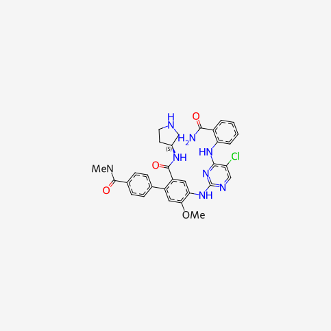 CNC(=O)c1ccc(-c2cc(OC)c(Nc3ncc(Cl)c(Nc4ccccc4C(N)=O)n3)cc2C(=O)N[C@H]2CCNC2)cc1